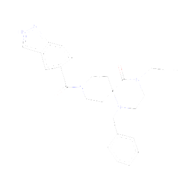 O=CCN1CCN(Cc2ccccc2)C2(CCN(C(=O)c3ccc4n[nH]cc4c3)CC2)C1=O